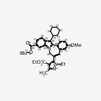 CCOC(=O)c1c(C)nn(CC)c1C1=Cc2cc(OC)ccc2-c2c(C3CCCCC3)c3ccc(C(=O)OC(C)(C)C)cc3n2C1